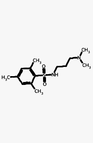 Cc1cc(C)c(S(=O)(=O)NCCCN(C)C)c(C)c1